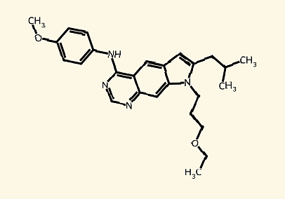 CCOCCCn1c(CC(C)C)cc2cc3c(Nc4ccc(OC)cc4)ncnc3cc21